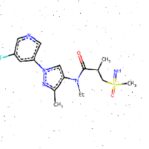 CCN(C(=O)C(C)CS(C)(=N)=O)c1cn(-c2cncc(F)c2)nc1C